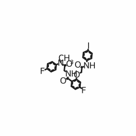 CN(C(=O)CNC(=O)c1ccc(F)cc1OCC(=O)Nc1ccc(I)cc1)c1ccc(F)cc1